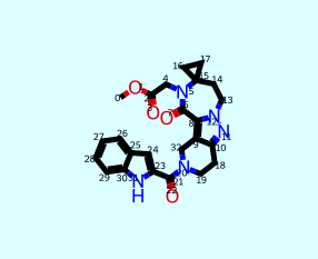 COC(=O)CN1C(=O)c2c3c(nn2CCC12CC2)CCN(C(=O)c1cc2ccccc2[nH]1)C3